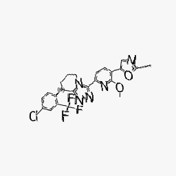 COc1nc(-c2nnc3n2CCC[C@@H]3c2ccc(Cl)cc2C(F)(F)F)ccc1-c1cnc(C)o1